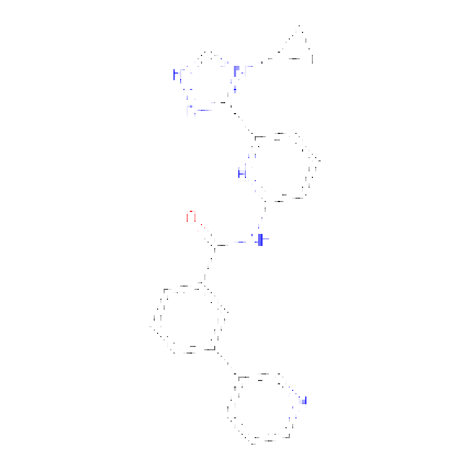 O=C(Nc1cccc(-c2nncn2C2CC2)n1)c1cccc(-c2cccnc2)c1